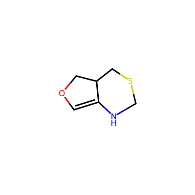 C1=C2NCSCC2CO1